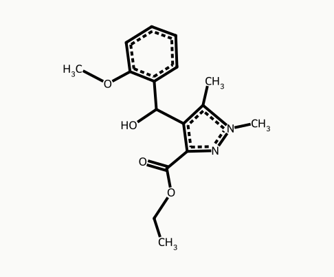 CCOC(=O)c1nn(C)c(C)c1C(O)c1ccccc1OC